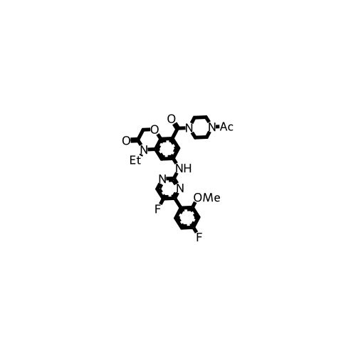 CCN1C(=O)COc2c(C(=O)N3CCN(C(C)=O)CC3)cc(Nc3ncc(F)c(-c4ccc(F)cc4OC)n3)cc21